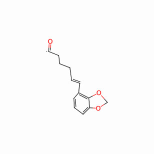 O=[C]CCC/C=C/c1cccc2c1OCO2